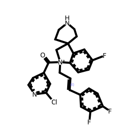 O=C(c1ccnc(Cl)c1)[N+]1(C/C=C/c2ccc(F)c(F)c2)CC2(CCNCC2)c2cc(F)ccc21